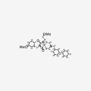 COCCN1C(=O)N(Cc2cccc(OC)c2)C(=O)C12CCN(Cc1cccc(-c3ccccc3)c1)CC2